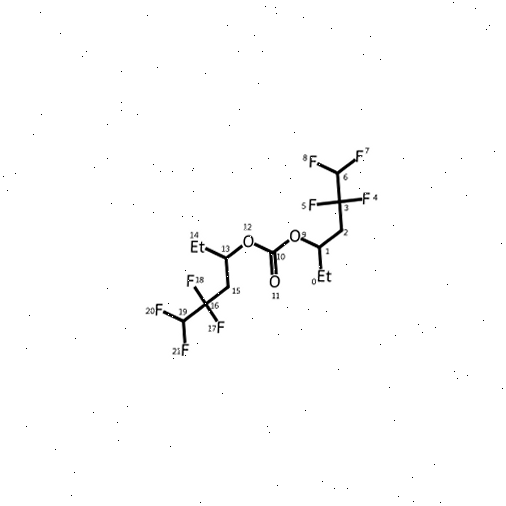 CCC(CC(F)(F)C(F)F)OC(=O)OC(CC)CC(F)(F)C(F)F